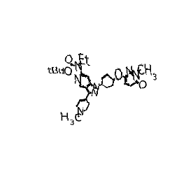 CCN(C(=O)OC(C)(C)C)c1cc2c(cn1)c(C1=CCN(C)CC1)nn2C1CCC(Oc2ccc(=O)n(C)n2)CC1